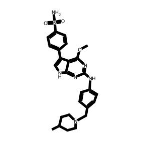 COc1nc(Nc2ccc(CN3CCC(C)CC3)cc2)nc2[nH]cc(-c3ccc(S(N)(=O)=O)cc3)c12